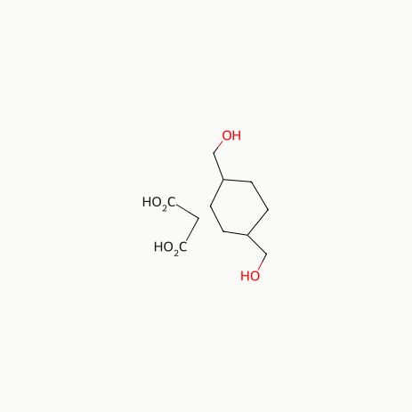 O=C(O)CC(=O)O.OCC1CCC(CO)CC1